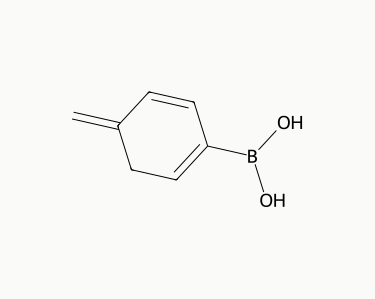 C=C1C=CC(B(O)O)=CC1